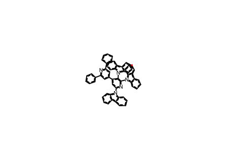 c1ccc(-c2cc(-c3cc(-n4c5ccccc5c5ccccc54)nc(-n4c5ccccc5c5ccccc54)c3-n3c4ccccc4c4ccccc43)cc(-c3ccccc3)n2)cc1